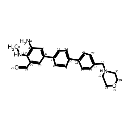 CNc1c(N)cc(-c2ccc(-c3ccc(CN4CCOCC4)cc3)cc2)cc1C=O